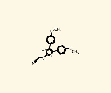 COc1ccc(-c2nc(SCC#N)[nH]c2-c2ccc(OC)cc2)cc1